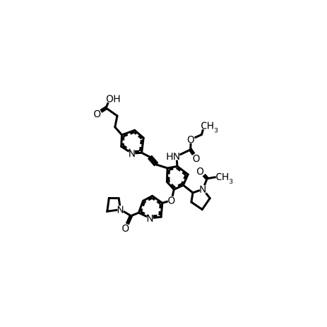 CCOC(=O)Nc1cc(C2CCCN2C(C)=O)c(Oc2ccc(C(=O)N3CCC3)nc2)cc1C#Cc1ccc(CCC(=O)O)cn1